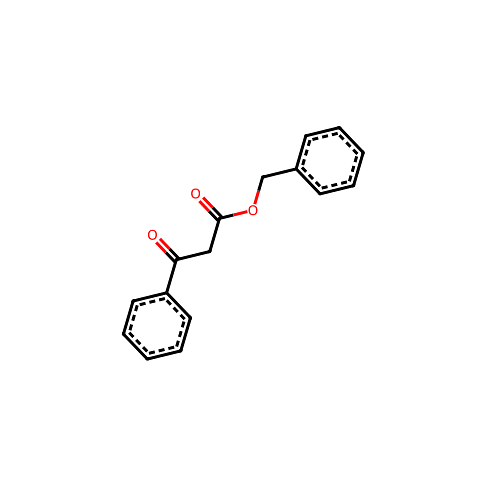 O=C(CC(=O)c1ccccc1)OCc1ccccc1